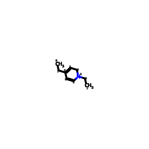 CCC1=CCN(CC)C=C1